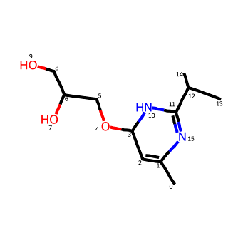 CC1=CC(OCC(O)CO)NC(C(C)C)=N1